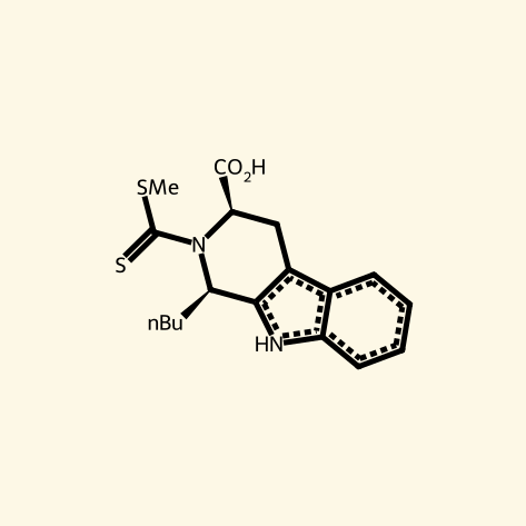 CCCC[C@@H]1c2[nH]c3ccccc3c2C[C@H](C(=O)O)N1C(=S)SC